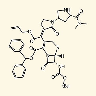 C=CCOC(=O)/C(C1=C(C(=O)OC(c2ccccc2)c2ccccc2)N2C(=O)[C@@H](NC(=O)OC(C)(C)C)[C@H]2SC1)=C1\CCN([C@@H]2CN[C@H](C(=O)N(C)C)C2)C1=O